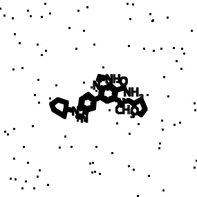 CN(CC1CCCO1)c1cc(-c2ccc3c(c2)ncn3C2CCCCC2)c2nc[nH]c2c1C(N)=O